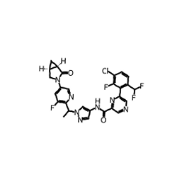 CC(c1ncc(N2C[C@H]3C[C@H]3C2=O)cc1F)n1cc(NC(=O)c2cncc(-c3c(C(F)F)ccc(Cl)c3F)n2)cn1